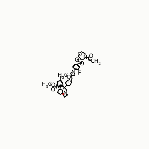 C=CC(=O)N1CCOC[C@@H](S(=O)(=O)c2ccc(N3CC(CN4CCC(C(CN5CCC5)(c5cccc(F)c5)[C@H]5CCC[C@@H]5NC(=O)OC)CC4)(OC)C3)c(F)c2)C1